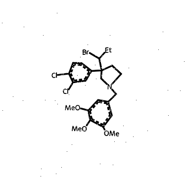 CCC(Br)C1(c2ccc(Cl)c(Cl)c2)CCN(Cc2cc(OC)c(OC)c(OC)c2)C1